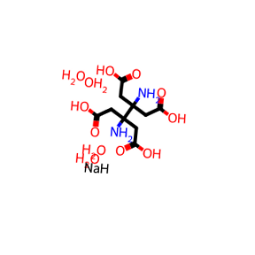 NC(CC(=O)O)(CC(=O)O)C(N)(CC(=O)O)CC(=O)O.O.O.O.O.[NaH]